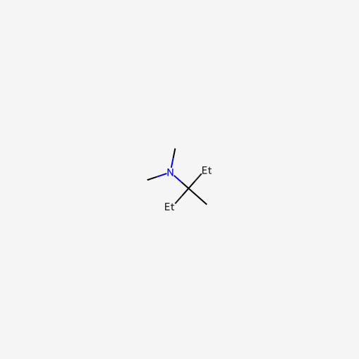 CCC(C)(CC)N(C)C